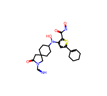 N=CN1CC2(CCC(N(O)c3cc(C4=CCCCC4)sc3C(=O)N=O)CC2)CC1=O